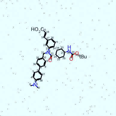 CN(C)c1ccc(-c2ccc(CN(c3cccc(C=CC(=O)O)c3)C(=O)[C@H]3CC[C@H](NC(=O)OC(C)(C)C)CC3)cc2)cc1